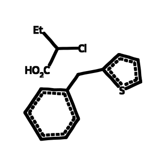 CCC(Cl)C(=O)O.c1ccc(Cc2cccs2)cc1